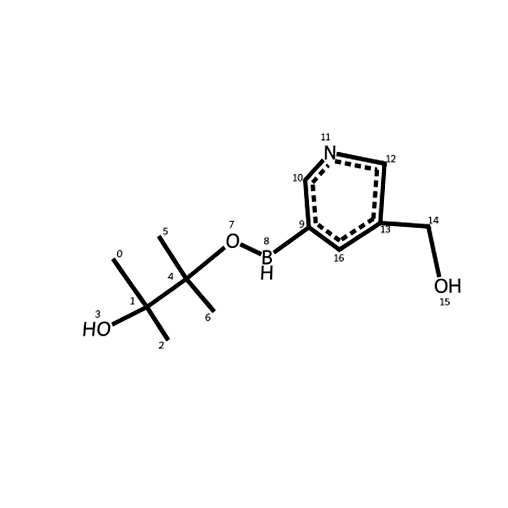 CC(C)(O)C(C)(C)OBc1cncc(CO)c1